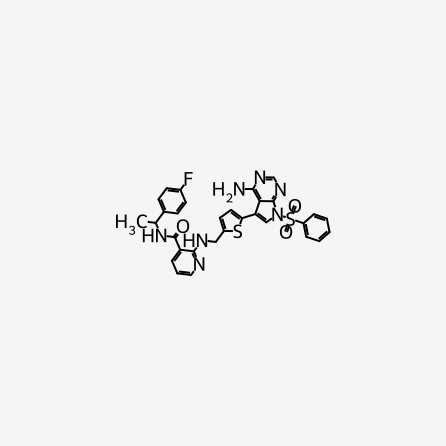 CC(NC(=O)c1cccnc1NCc1ccc(-c2cn(S(=O)(=O)c3ccccc3)c3ncnc(N)c23)s1)c1ccc(F)cc1